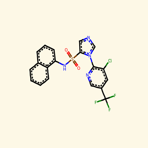 O=S(=O)(Nc1cccc2ccccc12)c1cncn1-c1ncc(C(F)(F)F)cc1Cl